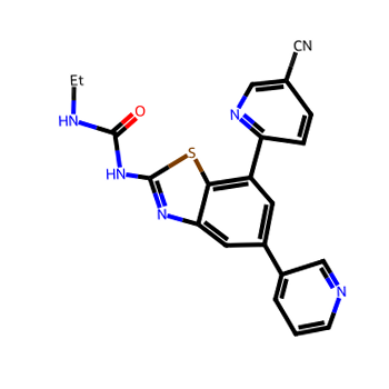 CCNC(=O)Nc1nc2cc(-c3cccnc3)cc(-c3ccc(C#N)cn3)c2s1